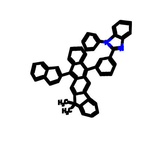 CC1(C)c2ccccc2-c2cc3c(-c4cccc(-c5nc6ccccc6n5-c5ccccc5)c4)c4ccccc4c(-c4ccc5ccccc5c4)c3cc21